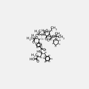 CC[C@H](C)[C@H](NC(=O)[C@H]1CCCCN1C(C)(C)C)C(=O)N(C)[C@H](C[C@@H](OC(C)=O)c1nc(C(=O)N[C@@H](Cc2ccccc2)C[C@H](C)C(=O)O)cs1)C(C)C